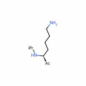 CC(=O)[C@H](CCCCN)NC(C)C